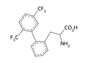 NC(Cc1ccccc1-c1cc(C(F)(F)F)ccc1C(F)(F)F)C(=O)O